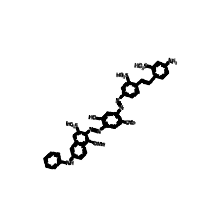 COc1cc(N=Nc2c(S(=O)(=O)O)cc3cc(Nc4ccccc4)ccc3c2OC)c(O)cc1N=Nc1ccc(C=Cc2ccc(N)cc2S(=O)(=O)O)c(S(=O)(=O)O)c1